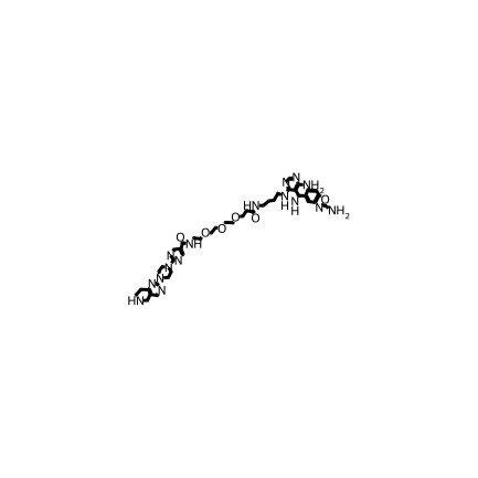 N=C(c1ccc2oc(N)nc2c1)c1c(N)ncnc1NCCCCNC(=O)CCOCCOCCOCCNC(=O)c1cnc(N2CCN(c3ncc4c(n3)CCNC4)CC2)nc1